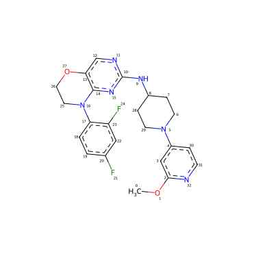 COc1cc(N2CCC(Nc3ncc4c(n3)N(c3ccc(F)cc3F)CCO4)CC2)ccn1